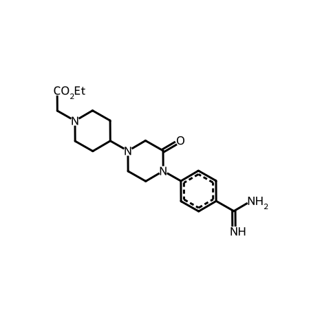 CCOC(=O)CN1CCC(N2CCN(c3ccc(C(=N)N)cc3)C(=O)C2)CC1